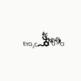 CCOC(=O)CCCc1ccc2c(c1)C1(CCN(C(C)=O)C1)CN2C(=O)Nc1ncc(Cl)s1